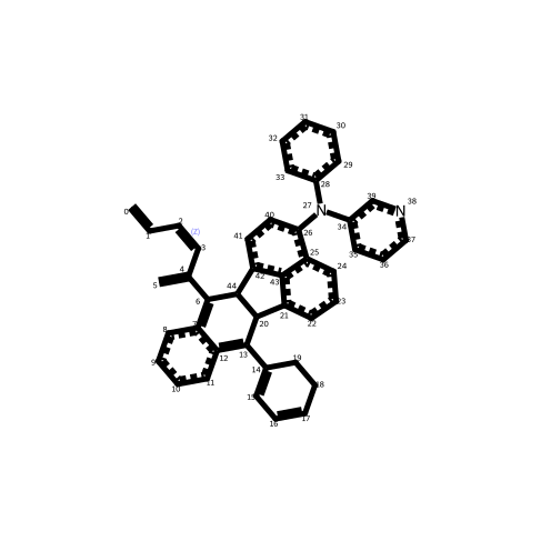 C=C/C=C\C(=C)C1=c2ccccc2=C(C2=CC=CCC2)C2c3cccc4c(N(c5ccccc5)c5cccnc5)ccc(c34)C12